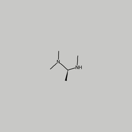 CN[C@@H](C)N(C)C